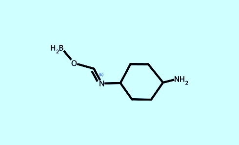 BO/C=N/C1CCC(N)CC1